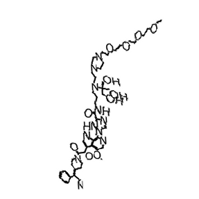 CCOCCOCCOCCOCCN1CCN(CCCN(CCCNC(=O)c2ncn(-c3ncc(OC)c4c(C(=O)C(=O)N5CCC(=C(C#N)c6ccccc6)CC5)c[nH]c34)n2)C(CO)(CO)CO)CC1